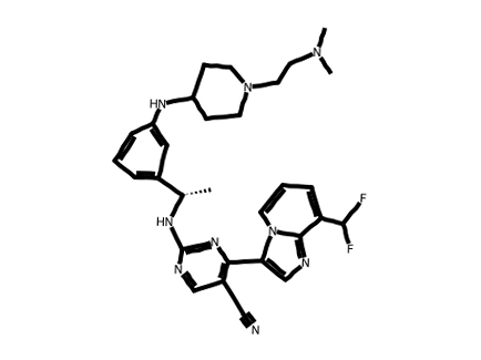 C[C@H](Nc1ncc(C#N)c(-c2cnc3c(C(F)F)cccn23)n1)c1cccc(NC2CCN(CCN(C)C)CC2)c1